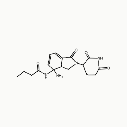 CCCC(=O)NC1(N)C=CC=C2C(=O)N(C3CCC(=O)NC3=O)CC21